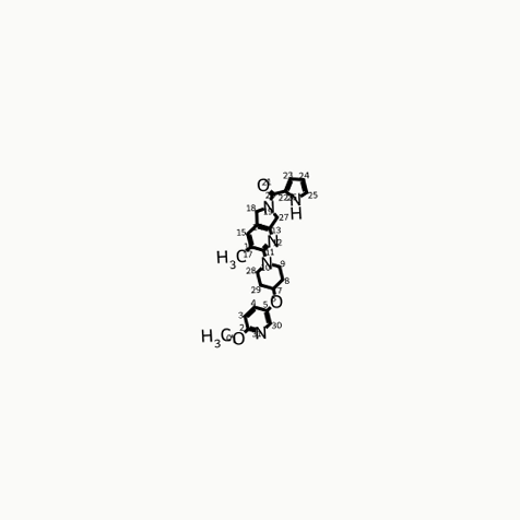 COc1ccc(OC2CCN(c3nc4c(cc3C)CN(C(=O)c3ccc[nH]3)C4)CC2)cn1